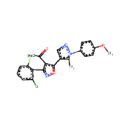 COC(=O)c1c(-c2c(F)cccc2Cl)noc1-c1cnn(-c2ccc(OC(F)(F)F)cc2)c1C(F)(F)F